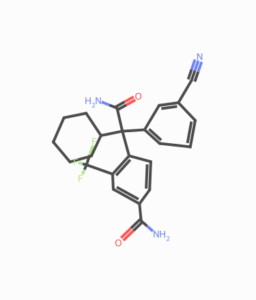 N#Cc1cccc(C(C(N)=O)(c2ccc(C(N)=O)cc2C(F)(F)F)C2CCCCC2)c1